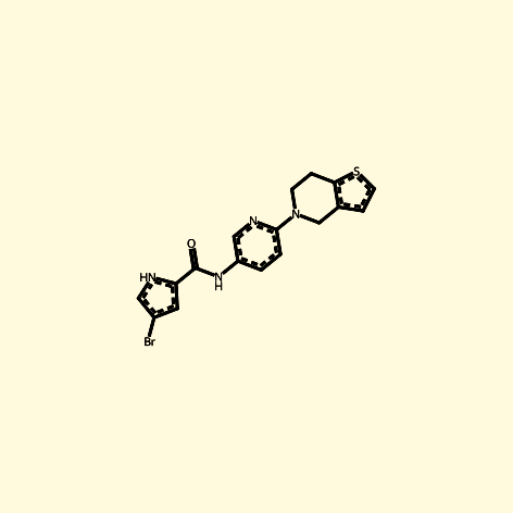 O=C(Nc1ccc(N2CCc3sccc3C2)nc1)c1cc(Br)c[nH]1